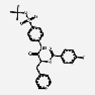 CC(C)(C)NS(=O)(=O)c1ccc(NC(=O)C(Cc2ccncc2)NC(=O)c2ccc(F)cc2)cc1